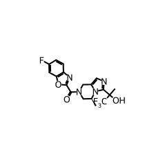 C[C@H]1CN(C(=O)c2nc3ccc(F)cc3o2)Cc2cnc(C(C)(O)C(F)(F)F)n21